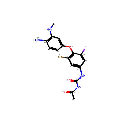 CNc1cc(Oc2c(Br)cc(NC(=O)NC(C)=O)cc2I)ccc1N